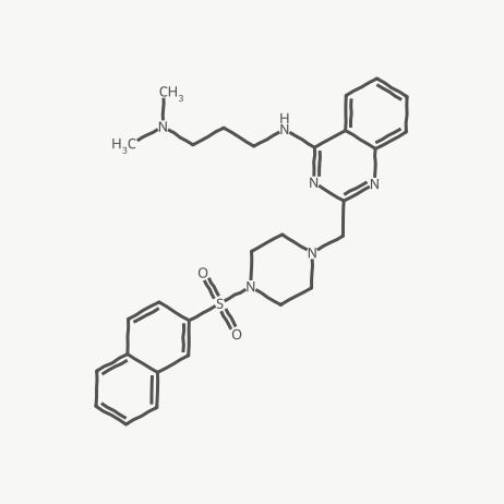 CN(C)CCCNc1nc(CN2CCN(S(=O)(=O)c3ccc4ccccc4c3)CC2)nc2ccccc12